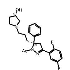 CC(=O)N1N=C(c2cc(F)ccc2F)C[C@]1(CCCN1CC[C@H](O)C1)c1ccccc1